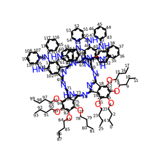 CCCCOc1c(OCCCC)c(OCCCC)c2c(c1OCCCC)-c1nc-2nc2c3c(Nc4ccccc4)c(Nc4ccccc4)c(Nc4ccccc4)c(Nc4ccccc4)c3c(nc3nc(nc4[nH]c(n1)c1c(OCCCC)c(OCCCC)c(OCCCC)c(OCCCC)c41)-c1cc(Nc4ccccc4)c(Nc4ccccc4)c(Nc4ccccc4)c1-3)n2Nc1ccccc1